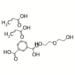 C=CC(=O)O.C=CC(=O)O.O=C(O)c1cccc(C(=O)O)c1.OCCOCCO